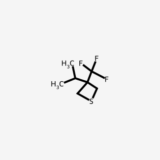 CC(C)C1(C(F)(F)F)CSC1